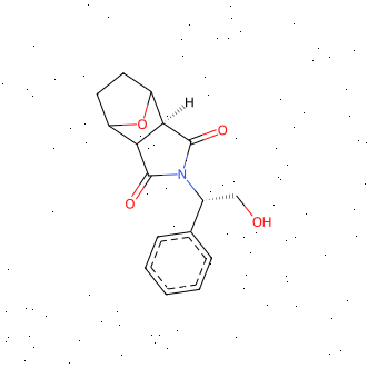 O=C1C2C3CCC(O3)[C@H]2C(=O)N1[C@H](CO)c1ccccc1